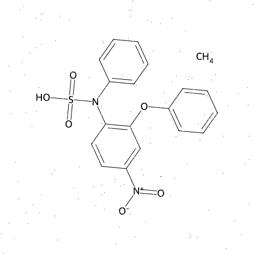 C.O=[N+]([O-])c1ccc(N(c2ccccc2)S(=O)(=O)O)c(Oc2ccccc2)c1